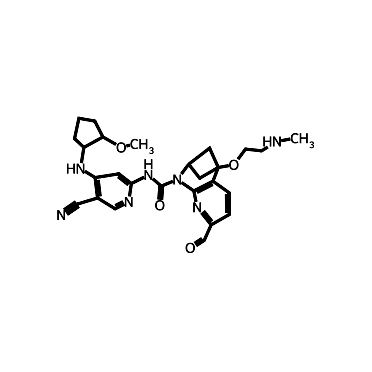 CNCCOC12CC(C1)N(C(=O)Nc1cc(NC3CCCC3OC)c(C#N)cn1)c1nc(C=O)ccc12